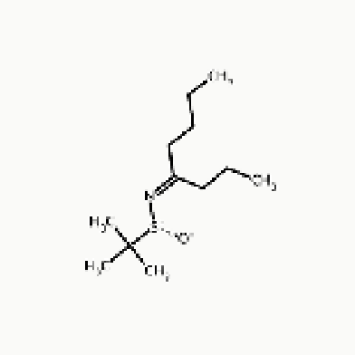 CCCC/C(CCC)=N/[S@+]([O-])C(C)(C)C